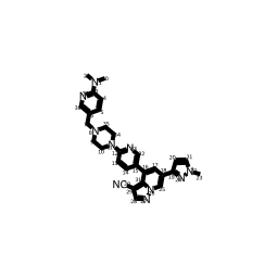 CN(C)c1ccc(CN2CCN(c3ccc(-c4cc(-c5c#cn(C)n5)cn5ncc(C#N)c45)cn3)CC2)cn1